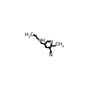 C=CCNCc1cnc(CC)c(C#N)c1